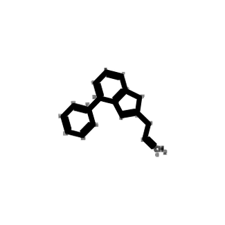 C=CCC1=Cc2c(cccc2-c2ccccc2)C1